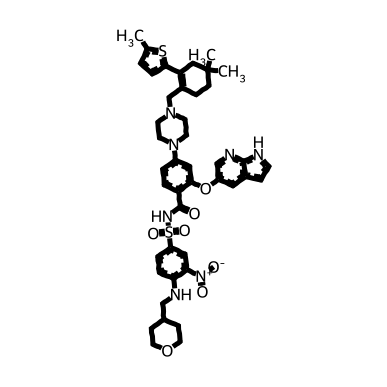 Cc1ccc(C2=C(CN3CCN(c4ccc(C(=O)NS(=O)(=O)c5ccc(NCC6CCOCC6)c([N+](=O)[O-])c5)c(Oc5cnc6[nH]ccc6c5)c4)CC3)CCC(C)(C)C2)s1